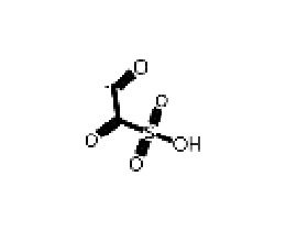 O=[C]C(=O)S(=O)(=O)O